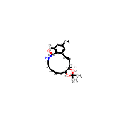 Cc1cc(C)c2c(c1)/C=C/C[C@@H]1OC(C)(C)OC1C/C=C\CCNC2=O